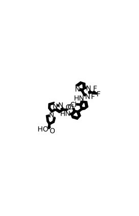 O=C(Nc1cccc(-c2cccc(Nc3nc(C(F)(F)F)nc4cccnc34)c2Cl)c1Cl)c1cc2n(n1)CCC[C@@H]2N1CCC(C(=O)O)CC1